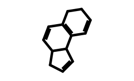 C1=CC2=C(C=CC3CC=CC23)CC1